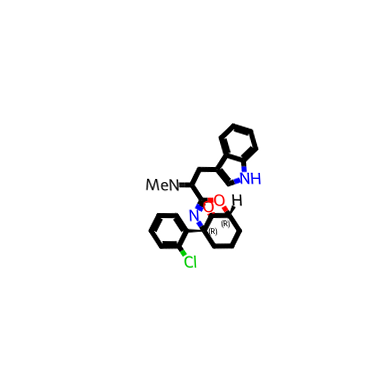 CNC(Cc1c[nH]c2ccccc12)C1=N[C@@]2(c3ccccc3Cl)CCC[C@@H](O1)C2=O